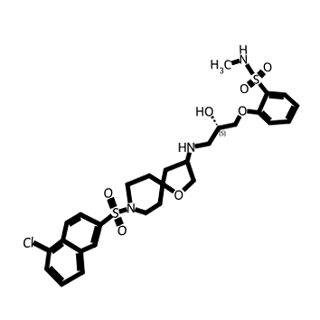 CNS(=O)(=O)c1ccccc1OC[C@@H](O)CNC1COC2(CCN(S(=O)(=O)c3ccc4c(Cl)cccc4c3)CC2)C1